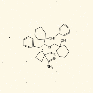 NC(=O)C1(C(=O)N([C@H](Cc2ccccc2)C2(O)CCCCC2)[C@H](Cc2ccccc2)C2(O)CCCCC2)CCCC1